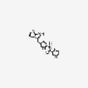 O=C(Nc1ccc(Cc2c[nH]c3ncccc23)cn1)C1CN=CC=N1